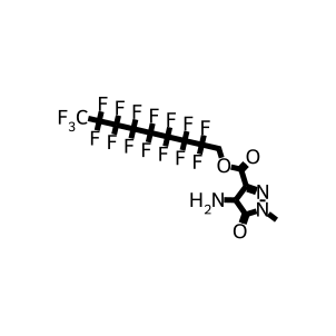 CN1N=C(C(=O)OCC(F)(F)C(F)(F)C(F)(F)C(F)(F)C(F)(F)C(F)(F)C(F)(F)C(F)(F)F)C(N)C1=O